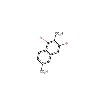 O=C(O)c1ccc2c(Br)c(C(=O)O)c(Br)cc2c1